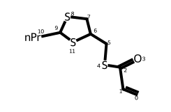 C=CC(=O)SCC1CSC(CCC)S1